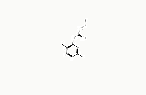 CCOC(=O)Oc1cc(C)ccc1C